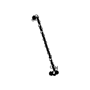 O=C(CCOCCOCCOCCOCCOCCOCCOCCOCCOCCOCCOCCOCCOCCC(=O)ON1C(=O)CCC1=O)NCC(=O)N1Cc2ccccc2C#Cc2ccccc21